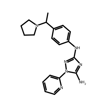 CC(c1ccc(Nc2nc(N)n(-c3ccccn3)n2)cc1)N1CCCC1